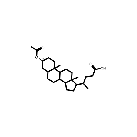 CC(=O)O[C@@H]1CCC2(C)C(CCC3C2CCC2(C)C(C(C)CCC(=O)O)CCC32)C1